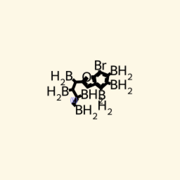 B/C=C(\B)C(B)C(B)c1cc2c(B)c(B)c(B)c(Br)c2o1